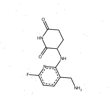 NCc1ccc(F)nc1NC1CCC(=O)NC1=O